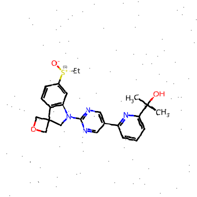 CC[S@@+]([O-])c1ccc2c(c1)N(c1ncc(-c3cccc(C(C)(C)O)n3)cn1)CC21COC1